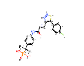 CCC(CC)(c1ccc(NC(=O)/C=C/c2nnsc2-c2ccc(F)cc2)cc1)P(=O)(O)O